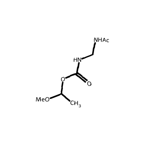 COC(C)OC(=O)NCNC(C)=O